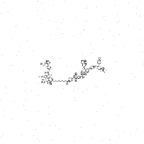 Cc1ncsc1-c1ccc(CNC(=O)[C@@H]2C[C@@H](O)CN2C(=O)[C@@H](NC(=O)CCCCCCCCC(=O)N2CCC(CNc3ccc(S(=O)(=O)NC(=O)c4ccc(N5CCN(CC6=C(c7ccc(Cl)cc7)CC(C)(C)CC6)CC5)cc4Oc4cnc5[nH]ccc5c4)cc3[N+](=O)[O-])CC2)C(C)(C)C)cc1